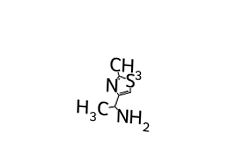 Cc1nc(C(C)N)cs1